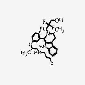 CCc1ccc(O[C@H](C)CNCCCF)cc1C1c2[nH]c3ccccc3c2C[C@@H](C)N1CC(F)(F)CO